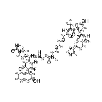 Cc1ncsc1-c1ccc([C@H](C)NC(=O)[C@@H]2C[C@@H](O)CN2C(=O)[C@@H](NC(=O)COCCOCCN(C)C(=O)CCNc2nc(N3CCN(C(N)=O)CC3)c3cc(Cl)c(-c4cc(O)cc5ccccc45)c(F)c3n2)C(C)(C)C)cc1